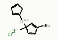 CCCCC1=C[C](C)([Hf+2][C]2=CC=CC2)C=C1.[Cl-].[Cl-]